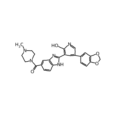 CN1CCN(C(=O)c2ccc3[nH]c(-c4cc(-c5ccc6c(c5)OCO6)cnc4O)nc3c2)CC1